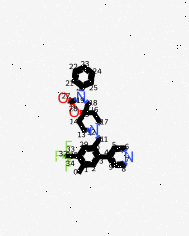 Cc1cc(-c2ccncc2)c(CN2CCC3(CC2)CN(c2ccccc2)C(=O)O3)cc1C(F)(F)F